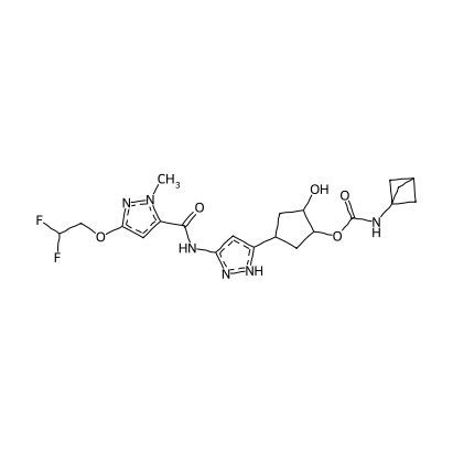 Cn1nc(OCC(F)F)cc1C(=O)Nc1cc(C2CC(O)C(OC(=O)NC34CC(C3)C4)C2)[nH]n1